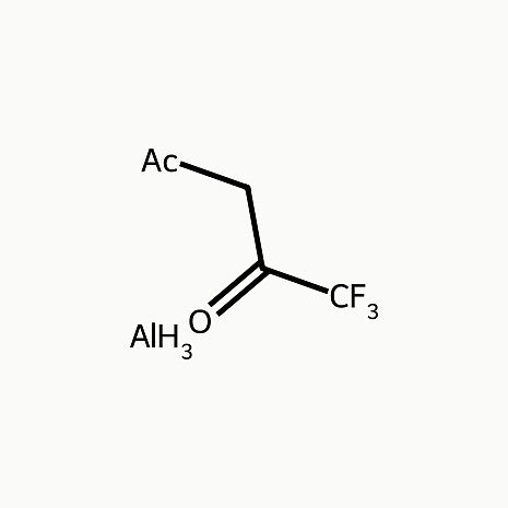 CC(=O)CC(=O)C(F)(F)F.[AlH3]